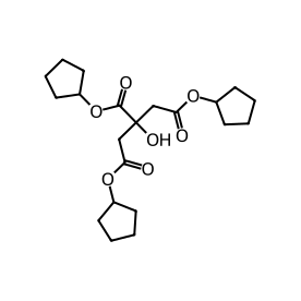 O=C(CC(O)(CC(=O)OC1CCCC1)C(=O)OC1CCCC1)OC1CCCC1